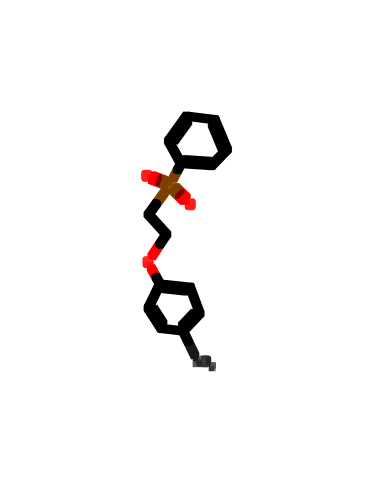 O=[N+]([O-])c1ccc(OCCS(=O)(=O)c2ccccc2)cc1